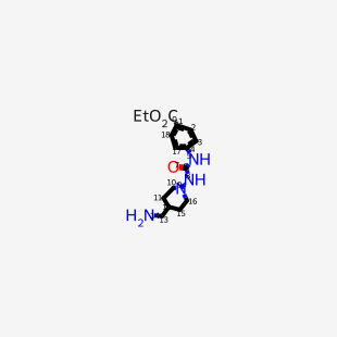 CCOC(=O)c1ccc(NC(=O)NN2CCC(CN)CC2)cc1